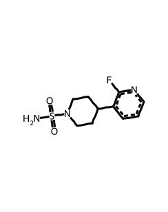 NS(=O)(=O)N1CCC(c2cccnc2F)CC1